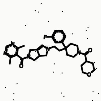 Cc1ncnc(C)c1C(=O)N1CC2=CN(CCC3(c4cccc(F)c4)CCN(C(=O)C4CCOCC4)CC3)CC2C1